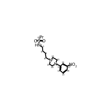 CC(C)S(=O)(=O)NCCCCN1CCN(c2cccc([N+](=O)[O-])c2)CC1